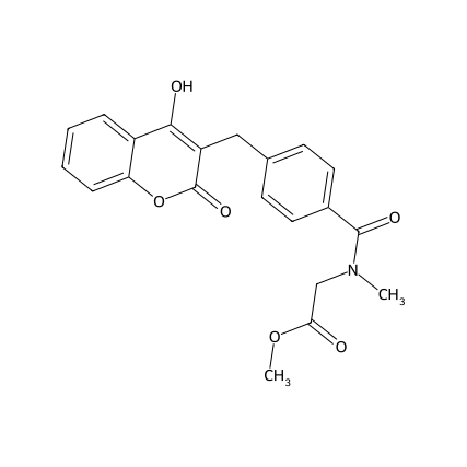 COC(=O)CN(C)C(=O)c1ccc(Cc2c(O)c3ccccc3oc2=O)cc1